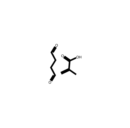 C=C(C)C(=O)O.O=CCCC=O